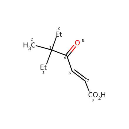 CCC(C)(CC)C(=O)C=CC(=O)O